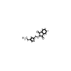 C=Cc1csc(CON2C(=O)c3ccccc3C2=O)c1